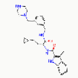 Cc1c(C(=O)NC(CCC2CC2)C(=O)NCc2cccc(CN3CCNCC3)c2)[nH]c2ccccc12